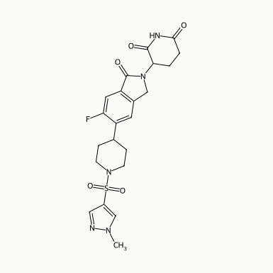 Cn1cc(S(=O)(=O)N2CCC(c3cc4c(cc3F)C(=O)N(C3CCC(=O)NC3=O)C4)CC2)cn1